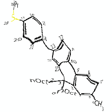 CCCCCCCCC1(CCCCCCCC)c2cc(C)ccc2-c2ccc(-c3ccc(SC(C)C)cc3)cc21